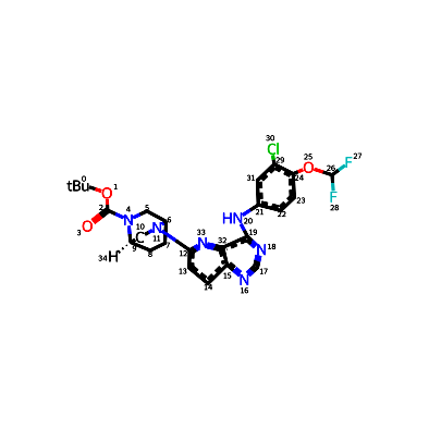 CC(C)(C)OC(=O)N1CC2CC[C@@H]1CN2c1ccc2ncnc(Nc3ccc(OC(F)F)c(Cl)c3)c2n1